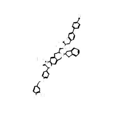 CN1C(=O)C(c2ccc(OCc3ccc(Cl)c(Cl)c3)cc2)Oc2cc3c(cc21)CC(C(=O)NC(Cc1ccc(-c2ccc(C#N)cc2)cc1)C(=O)O)N(C1Cc2ccccc2C1)C3